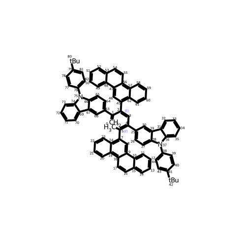 C=C(/C(=C\C(=C(/C)c1cc2c3ccccc3ccc2c2ccccc12)c1ccc2c(c1)c1ccccc1n2-c1ccc(C(C)(C)C)cc1)c1cc2c3ccccc3ccc2c2ccccc12)c1ccc2c(c1)c1ccccc1n2-c1ccc(C(C)(C)C)cc1